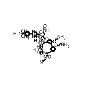 Cc1nc(-c2ccc(C(C)(C)C)cc2)ncc1C(=O)N[C@@H](CCNC=O)C(=O)N(C)[C@@H]1C(=O)N[C@@H](C)C(=O)N[C@H](C(=O)NCC#N)Cc2ccc(OCCN)c(c2)-c2cc1ccc2OCCN